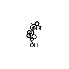 CC(C)c1cccc(C(C)C)c1NC(=O)N(Cc1cccc(OCCO)c1)CC1(c2ccccn2)CCCCC1